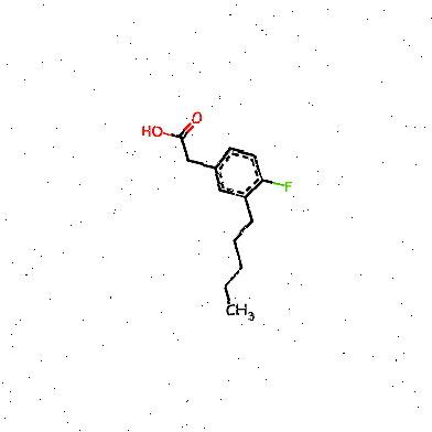 CCCCCc1cc(CC(=O)O)ccc1F